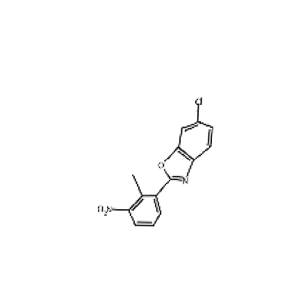 Cc1c(-c2nc3ccc(Cl)cc3o2)cccc1[N+](=O)[O-]